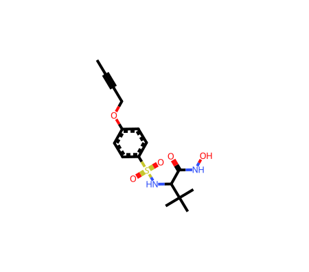 CC#CCOc1ccc(S(=O)(=O)NC(C(=O)NO)C(C)(C)C)cc1